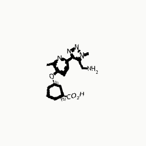 Cc1nc(-c2nnn(C)c2CN)ccc1O[C@H]1CCC[C@H](C(=O)O)C1